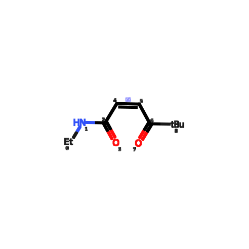 CCNC(=O)/C=C\C(=O)C(C)(C)C